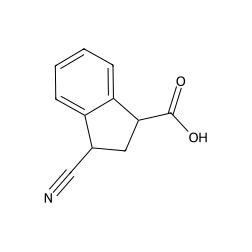 N#CC1CC(C(=O)O)c2ccccc21